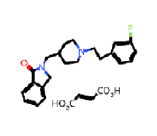 O=C(O)C=CC(=O)O.O=C1c2ccccc2CN1CC1CCN(CCc2cccc(F)c2)CC1